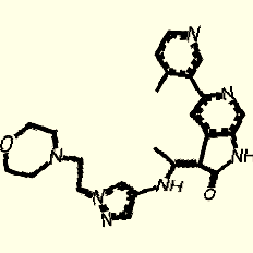 C/C(Nc1cnn(CCN2CCOCC2)c1)=C1/C(=O)Nc2cnc(-c3cnccc3C)cc21